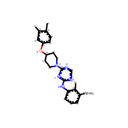 CC(=O)Nc1cccc(Nc2ncnc(N3CCC(Oc4ccc(C)c(C)c4)CC3)n2)c1C